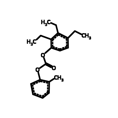 CCc1ccc(OC(=O)Oc2ccccc2C)c(CC)c1CC